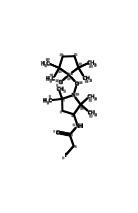 CC1(C)CC(NC(=O)CI)C(C)(C)N1O[N+]1([O])C(C)(C)CCC1(C)C